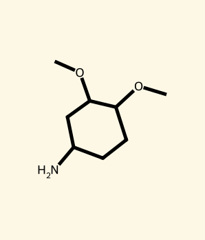 COC1CCC(N)CC1OC